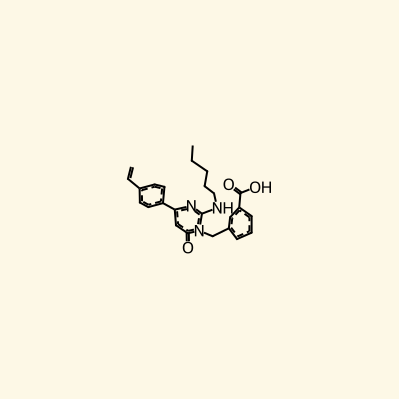 C=Cc1ccc(-c2cc(=O)n(Cc3cccc(C(=O)O)c3)c(NCCCCC)n2)cc1